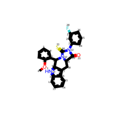 COc1ccccc1C1c2[nH]c3ccccc3c2CC2C(=O)N(c3cccc(F)c3)C(=S)N21